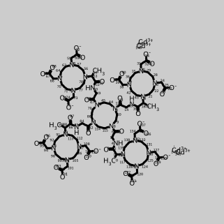 CC(C(=O)NCC(=O)N1CCN(C(=O)CNC(=O)C(C)N2CCN(CC(=O)[O-])CCN(CC(=O)[O-])CCN(CC(=O)[O-])CC2)CCN(C(=O)CNC(=O)C(C)N2CCN(CC(=O)[O-])CCN(CC(=O)[O-])CCN(CC(=O)[O-])CC2)CCN(C(=O)CNC(=O)C(C)N2CCN(CC(=O)[O-])CCN(CC(=O)[O-])CCN(CC(=O)[O-])CC2)CC1)N1CCN(CC(=O)[O-])CCN(CC(=O)[O-])CCN(CC(=O)[O-])CC1.[Gd+3].[Gd+3].[Gd+3].[Gd+3]